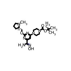 CN1CCC[C@H]1COc1nc(/C(N)=N/O)cc(N2CCN(C(=O)OC(C)(C)C)CC2)n1